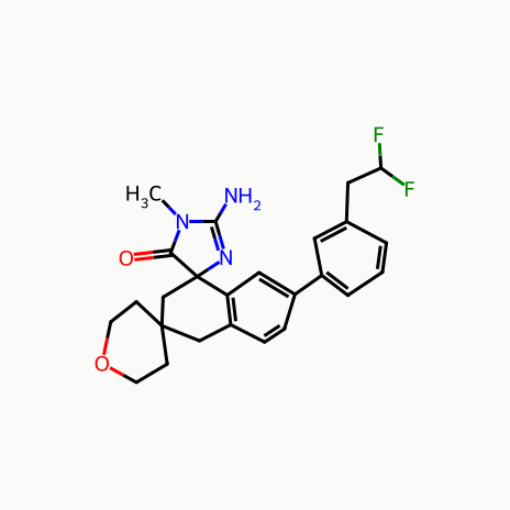 CN1C(=O)C2(CC3(CCOCC3)Cc3ccc(-c4cccc(CC(F)F)c4)cc32)N=C1N